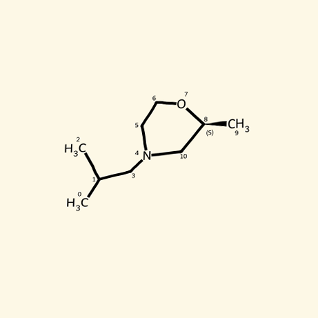 CC(C)CN1CCO[C@@H](C)C1